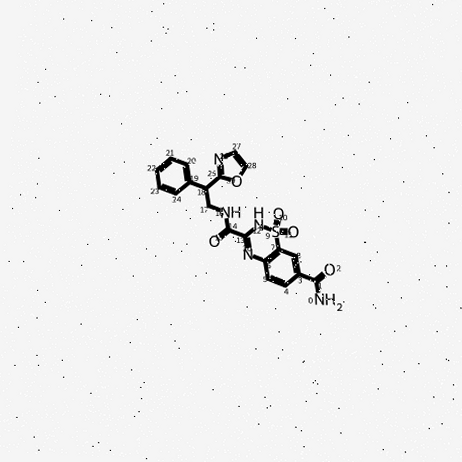 NC(=O)c1ccc2c(c1)S(=O)(=O)NC(C(=O)NCC(c1ccccc1)c1ncco1)=N2